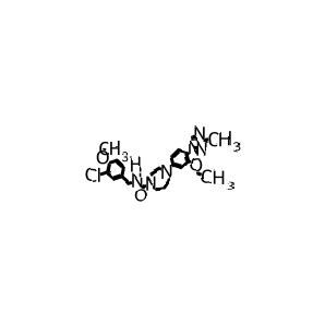 CCOc1cc(N2CCCN(C(=O)NCc3ccc(OC)c(Cl)c3)CC2)ccc1-n1cnc(C)n1